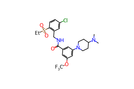 CCS(=O)(=O)c1ccc(Cl)cc1CNC(=O)c1cc(OC(F)(F)F)cc(N2CCC(N(C)C)CC2)c1